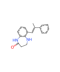 C/C(=C\c1cccc2c1NCCC(=O)N2)c1ccccc1